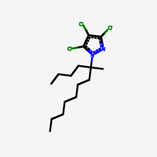 CCCCCCCC(C)(CCCC)n1nc(Cl)c(Cl)c1Cl